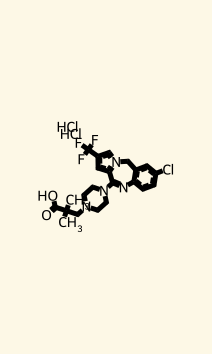 CC(C)(CN1CCN(C2=Nc3ccc(Cl)cc3Cn3cc(C(F)(F)F)cc32)CC1)C(=O)O.Cl.Cl